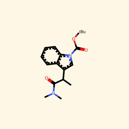 CC(C(=O)N(C)C)c1cn(C(=O)OC(C)(C)C)c2ccccc12